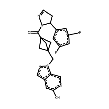 N#Cc1cc2cnn(CC34CC(C(=O)N5N=CCC5c5cc(F)cc(F)c5)(C3)C4)c2cn1